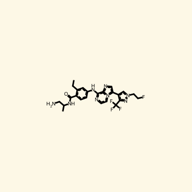 CCc1cc(Nc2nccn3c(-c4cn(CCF)nc4C(F)(F)F)cnc23)ccc1C(=O)NC(C)CN